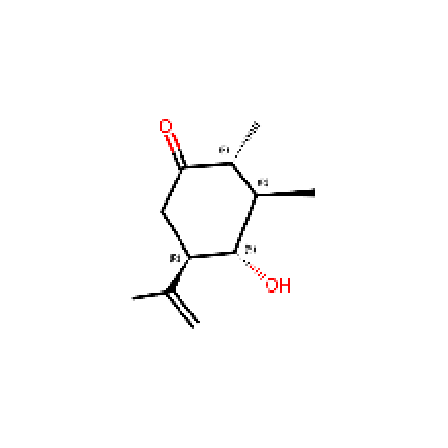 C=C(C)[C@H]1CC(=O)[C@H](C)[C@@H](C)[C@@H]1O